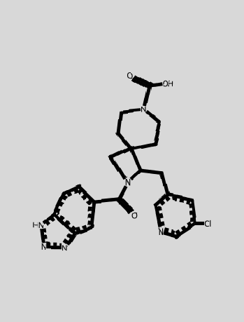 O=C(O)N1CCC2(CC1)CN(C(=O)c1ccc3[nH]nnc3c1)C2Cc1cncc(Cl)c1